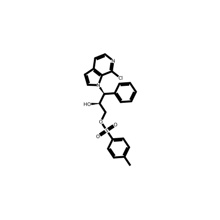 Cc1ccc(S(=O)(=O)OC[C@@H](O)[C@H](c2ccccc2)n2ccc3ccnc(Cl)c32)cc1